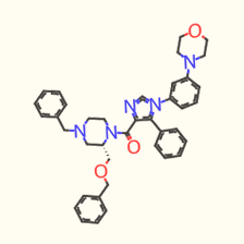 O=C(c1ncn(-c2cccc(N3CCOCC3)c2)c1-c1ccccc1)N1CCN(Cc2ccccc2)C[C@H]1COCc1ccccc1